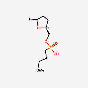 COCCCP(=O)(O)OC[C@@H]1CCC(I)O1